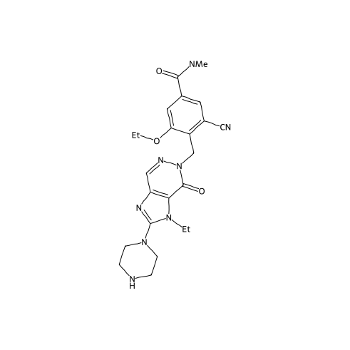 CCOc1cc(C(=O)NC)cc(C#N)c1Cn1ncc2nc(N3CCNCC3)n(CC)c2c1=O